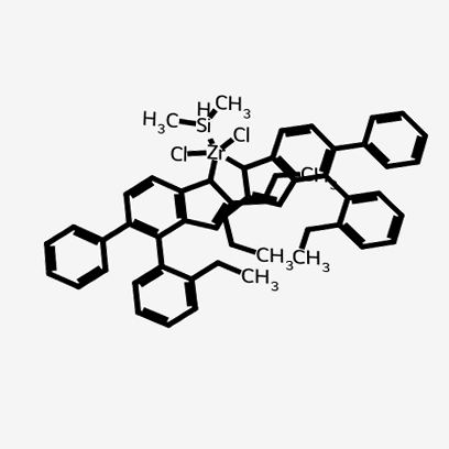 CCCC1=Cc2c(ccc(-c3ccccc3)c2-c2ccccc2CC)[CH]1[Zr]([Cl])([Cl])([CH]1C(CCC)=Cc2c1ccc(-c1ccccc1)c2-c1ccccc1CC)[SiH](C)C